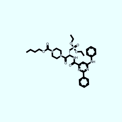 CCCCOC(=O)N1CCN(C(=O)[C@H](CP(=O)(OCC)OCC)NC(=O)c2cc(Nc3ccccc3)nc(-c3ccccc3)n2)CC1